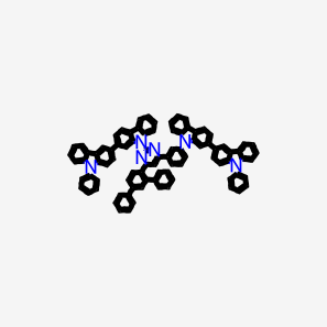 c1ccc(-c2ccc(-c3cc(-c4cccc(-n5c6ccccc6c6ccc(-c7ccc8c(c7)c7ccccc7n8-c7ccccc7)cc65)c4)nc(-n4c5ccccc5c5ccc(-c6ccc7c(c6)c6ccccc6n7-c6ccccc6)cc54)n3)c(-c3ccccc3)c2)cc1